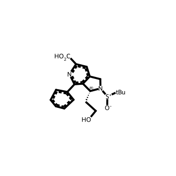 CC(C)(C)[S+]([O-])N1Cc2cc(C(=O)O)nc(-c3ccccc3)c2[C@H]1CCO